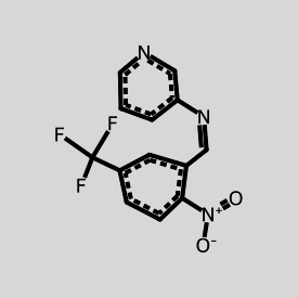 O=[N+]([O-])c1ccc(C(F)(F)F)cc1/C=N\c1cccnc1